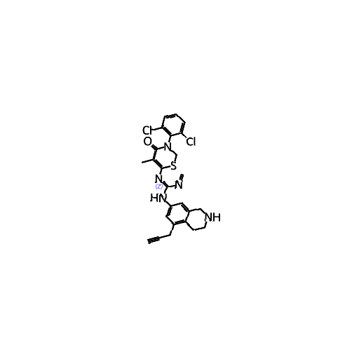 C#CCc1cc(N/C(N=C)=N/C2=C(C)C(=O)N(c3c(Cl)cccc3Cl)CS2)cc2c1CCNC2